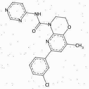 Cc1cc(-c2cccc(Cl)c2)nc2c1OCCN2C(=O)Nc1ccncn1